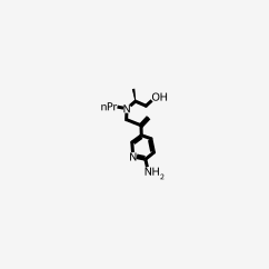 C=C(CN(CCC)[C@@H](C)CO)c1ccc(N)nc1